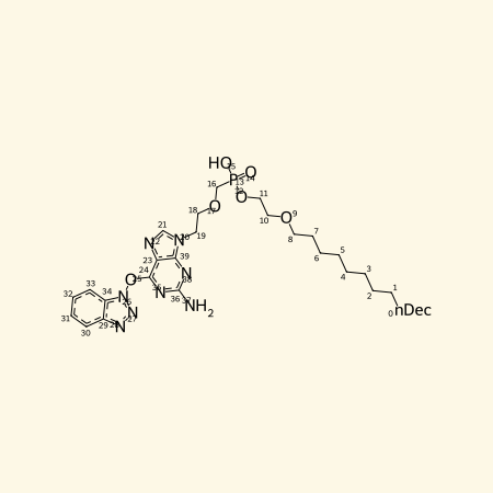 CCCCCCCCCCCCCCCCCCOCCOP(=O)(O)COCCn1cnc2c(On3nnc4ccccc43)nc(N)nc21